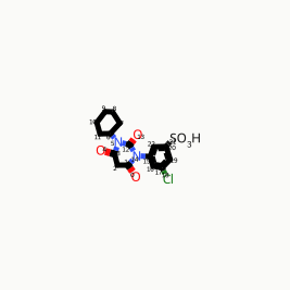 O=C1CC(=O)N(C2CCCCC2)C(=O)N1c1cc(Cl)cc(S(=O)(=O)O)c1